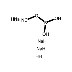 N#COB(O)O.[HH].[NaH].[NaH].[NaH]